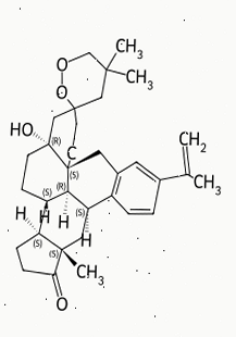 C=C(C)c1ccc2c(c1)C[C@]13CCC4(CC(C)(C)COO4)C[C@]1(O)CC[C@@H]1[C@@H]3[C@@H]2C[C@]2(C)C(=O)CC[C@@H]12